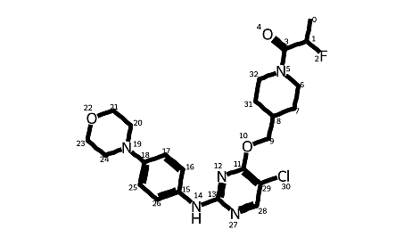 CC(F)C(=O)N1CCC(COc2nc(Nc3ccc(N4CCOCC4)cc3)ncc2Cl)CC1